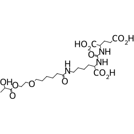 CC(O)C(=O)OCCOCCCCCC(=O)NCCCCC(NC(=O)NC(CCC(=O)O)C(=O)O)C(=O)O